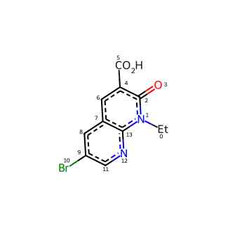 CCn1c(=O)c(C(=O)O)cc2cc(Br)cnc21